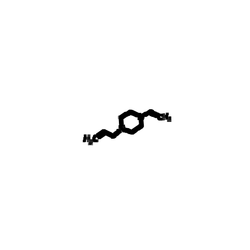 C=CCN1CCN(C=C)CC1